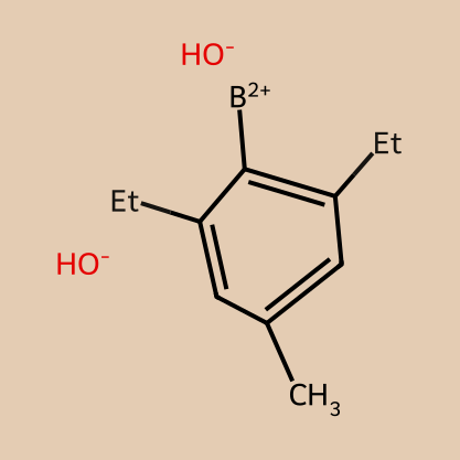 [B+2]c1c(CC)cc(C)cc1CC.[OH-].[OH-]